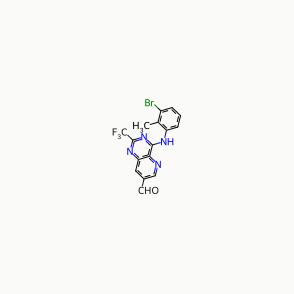 Cc1c(Br)cccc1Nc1nc(C(F)(F)F)nc2cc(C=O)cnc12